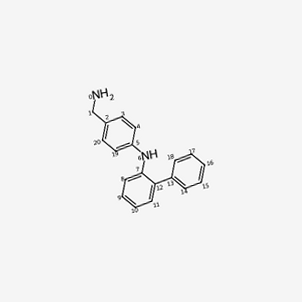 NCc1ccc(Nc2ccccc2-c2ccccc2)cc1